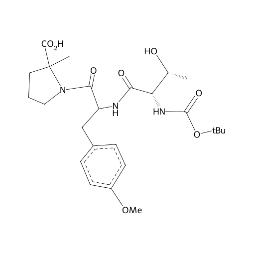 COc1ccc(CC(NC(=O)[C@@H](NC(=O)OC(C)(C)C)[C@@H](C)O)C(=O)N2CCCC2(C)C(=O)O)cc1